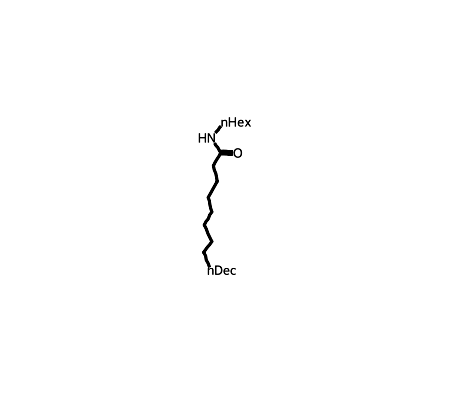 CCCCCCCCCCCCCCCCCC(=O)NCCCCCC